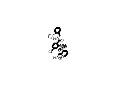 O=C(NCc1ccccc1C(F)(F)F)c1ccc(Cl)cc1NS(=O)(=O)C1=CC=CN2SNC=C12